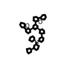 c1ccc(-c2cccc(N(c3ccccc3)c3cccc(-c4cccc(-c5cc(-c6cccc7c6oc6ccccc67)cc(-c6cccc7c6oc6ccccc67)c5)c4)c3)c2)cc1